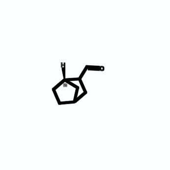 O=CC1CC2CC[C@H]1C2